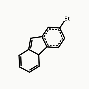 CCc1ccc2c(c1)[C]=C1C=CC=CC12